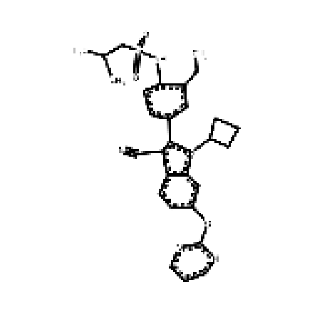 CCc1cc(-c2c(C#N)c3ccc(Oc4ncccn4)cc3n2C2CCC2)ccc1NS(=O)(=O)CC(C)C